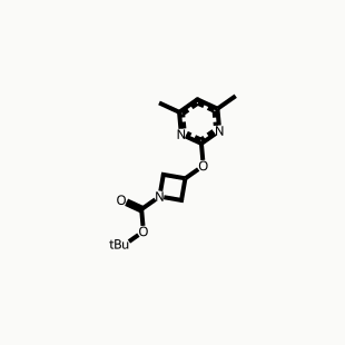 Cc1cc(C)nc(OC2CN(C(=O)OC(C)(C)C)C2)n1